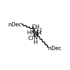 CCCCCCCCCCCCCCCCCCC1=[N+](CC)C(NC(=O)C(C)CCCCCCCCCCCCCCCC)CN1.[Cl-]